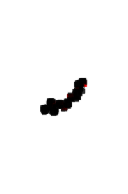 CC1(C)c2ccc(-c3ccc4c(c3)C(C)(C)c3cc5sc6c7ccccc7ccc6c5cc3-4)cc2-c2ccc(-c3c4ccccc4c(-c4ccccc4)c4ccccc34)cc21